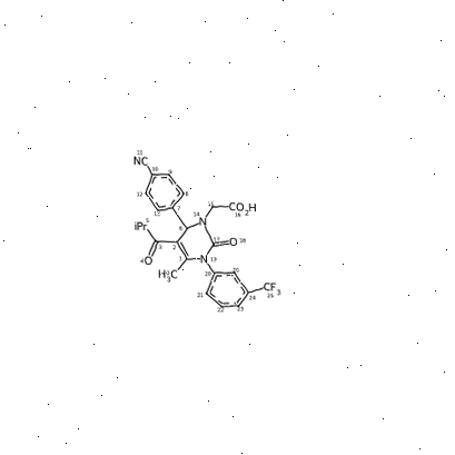 CC1=C(C(=O)C(C)C)C(c2ccc(C#N)cc2)N(CC(=O)O)C(=O)N1c1cccc(C(F)(F)F)c1